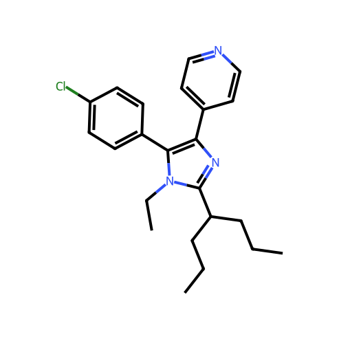 CCCC(CCC)c1nc(-c2ccncc2)c(-c2ccc(Cl)cc2)n1CC